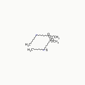 CCCCCCCC/C=C\CCCCCCCC(=O)OCC(CC)C(CCC)OC(=O)CCCCCCC/C=C\CCCCCCCC.[Ti]